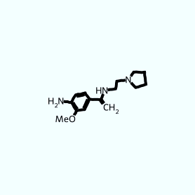 C=C(NCCN1CCCC1)c1ccc(N)c(OC)c1